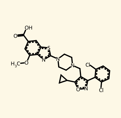 COc1cc(C(=O)O)cc2sc(N3CCN(Cc4c(-c5c(Cl)cccc5Cl)noc4C4CC4)CC3)nc12